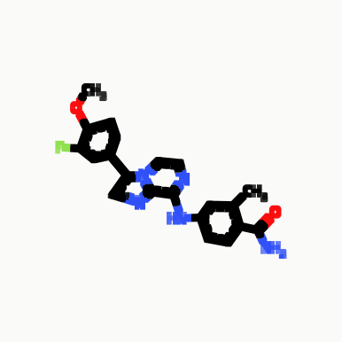 COc1ccc(-c2cnc3c(Nc4ccc(C(N)=O)c(C)c4)nccn23)cc1F